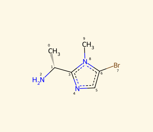 C[C@@H](N)c1ncc(Br)n1C